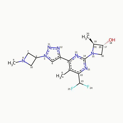 Cc1c(-c2cn(C3CN(C)C3)nn2)nc(N2C[C@@H](O)[C@@H]2C)nc1C(F)F